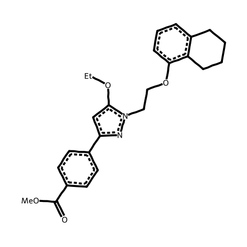 CCOc1cc(-c2ccc(C(=O)OC)cc2)nn1CCOc1cccc2c1CCCC2